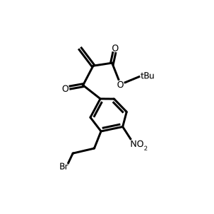 C=C(C(=O)OC(C)(C)C)C(=O)c1ccc([N+](=O)[O-])c(CCBr)c1